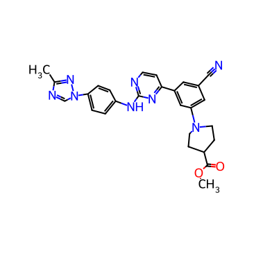 COC(=O)C1CCN(c2cc(C#N)cc(-c3ccnc(Nc4ccc(-n5cnc(C)n5)cc4)n3)c2)CC1